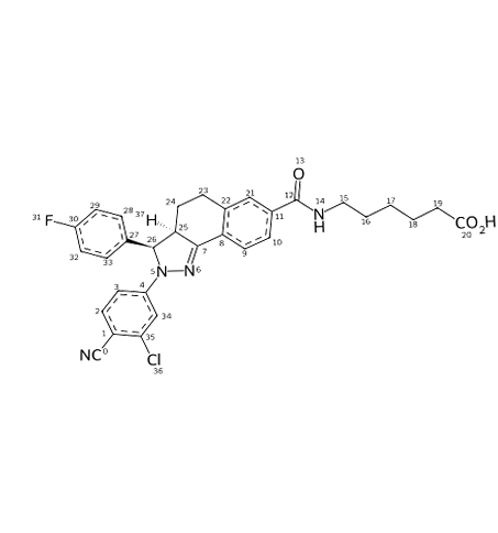 N#Cc1ccc(N2N=C3c4ccc(C(=O)NCCCCCC(=O)O)cc4CC[C@@H]3[C@@H]2c2ccc(F)cc2)cc1Cl